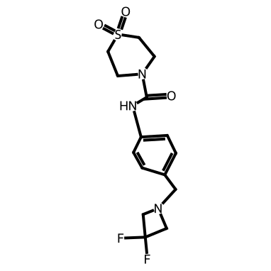 O=C(Nc1ccc(CN2CC(F)(F)C2)cc1)N1CCS(=O)(=O)CC1